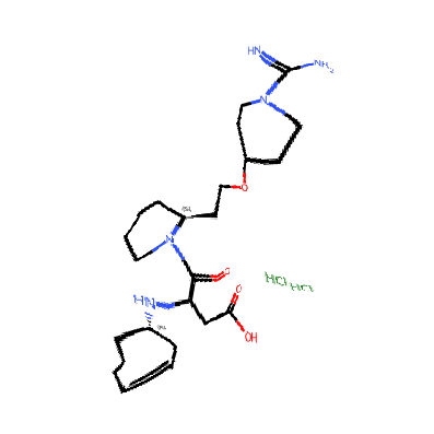 Cl.Cl.N=C(N)N1CCC(OCC[C@@H]2CCCCN2C(=O)C(CC(=O)O)N[C@@H]2CC=CCC2)CC1